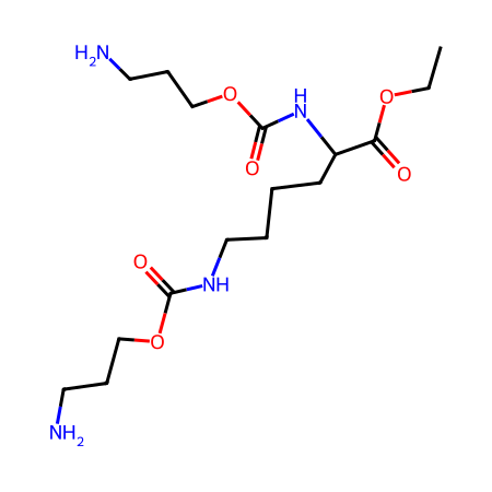 CCOC(=O)C(CCCCNC(=O)OCCCN)NC(=O)OCCCN